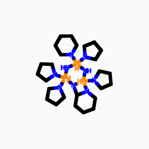 C1CCN([PH]2(N3CCCC3)N[PH](N3CCCC3)(N3CCCC3)N3C4CCCCN4[PH]3(N3CCCC3)N2)CC1